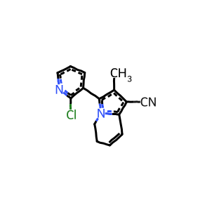 Cc1c(C#N)c2n(c1-c1cccnc1Cl)CCC=C2